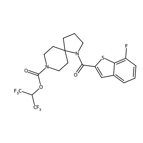 O=C(OC(C(F)(F)F)C(F)(F)F)N1CCC2(CCCN2C(=O)c2cc3cccc(F)c3s2)CC1